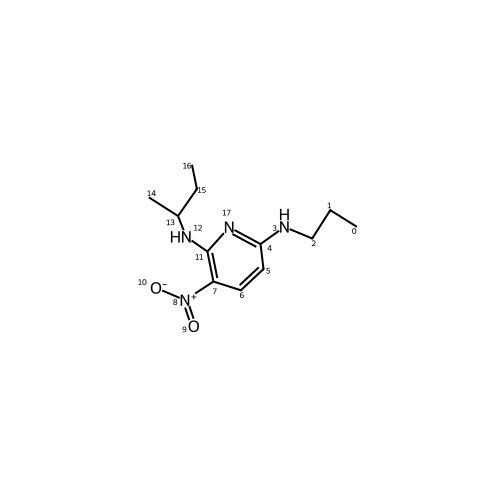 CCCNc1ccc([N+](=O)[O-])c(NC(C)CC)n1